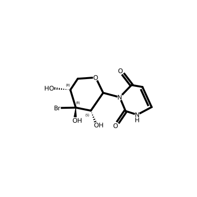 O=c1cc[nH]c(=O)n1C1OC[C@@H](O)[C@@](O)(Br)[C@H]1O